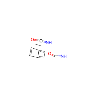 CC.N=C=O.N=C=O.c1cc2ccc1-2